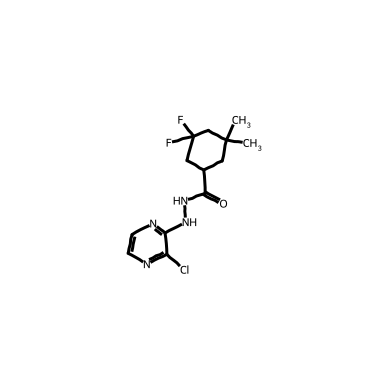 CC1(C)CC(C(=O)NNc2nccnc2Cl)CC(F)(F)C1